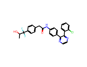 CC(O)C(F)(F)c1ccc(CC(=O)Nc2ccc(-c3nccnc3-c3ccccc3Cl)cc2)cc1